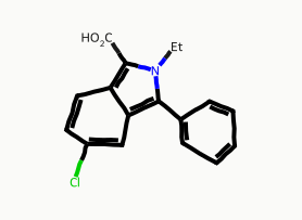 CCn1c(C(=O)O)c2ccc(Cl)cc2c1-c1ccccc1